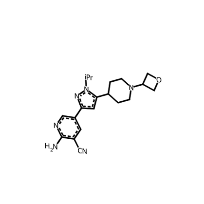 CC(C)n1nc(-c2cnc(N)c(C#N)c2)cc1C1CCN(C2COC2)CC1